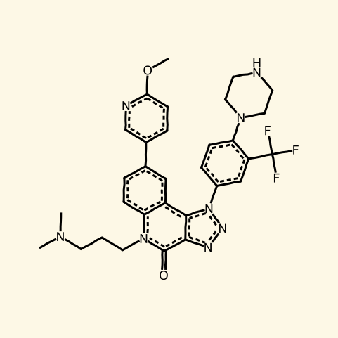 COc1ccc(-c2ccc3c(c2)c2c(nnn2-c2ccc(N4CCNCC4)c(C(F)(F)F)c2)c(=O)n3CCCN(C)C)cn1